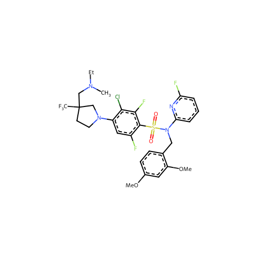 CCN(C)CC1(C(F)(F)F)CCN(c2cc(F)c(S(=O)(=O)N(Cc3ccc(OC)cc3OC)c3cccc(F)n3)c(F)c2Cl)C1